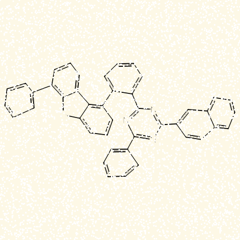 c1ccc(-c2nc(-c3ccc4ccccc4c3)nc(-c3ccccc3-c3cccc4oc5c(-c6ccccc6)cccc5c34)n2)cc1